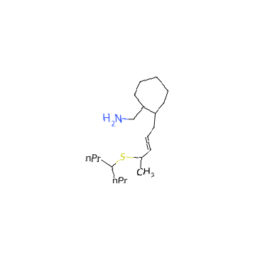 CCCC(CCC)SC(C)/C=C/CC1CCCCCC1CN